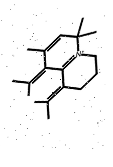 CC1=CC(C)(C)[N+]2=C(C(=C(C)C)CCC2)C1=C(C)C